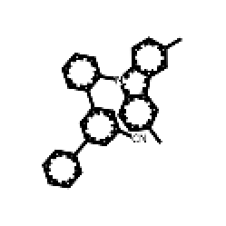 Cc1ccc2c(c1)c1cc(C)ccc1n2-c1ccccc1-c1cc(C#N)cc(-c2ccccc2)c1